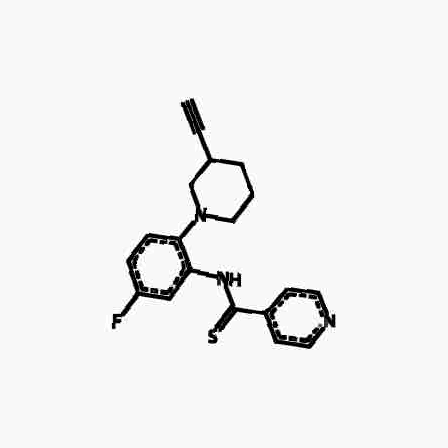 C#CC1CCCN(c2ccc(F)cc2NC(=S)c2ccncc2)C1